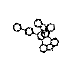 c1ccc(-c2ccc(-c3nc(-c4ccccc4)nc(-c4cccc5oc6cccc(-c7ccc8c(c7)oc7ccccc78)c6c45)n3)cc2)cc1